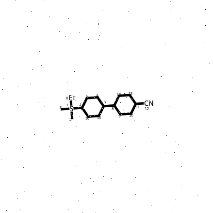 CCS(C)(C)C1CCC(C2CCC(C#N)CC2)CC1